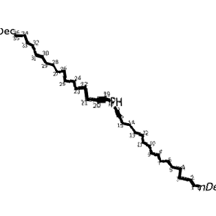 CCCCCCCCCCCCCCCCCCCCCCCCCC#CPC#CCCCCCCCCCCCCCCCCCCCCCCCCC